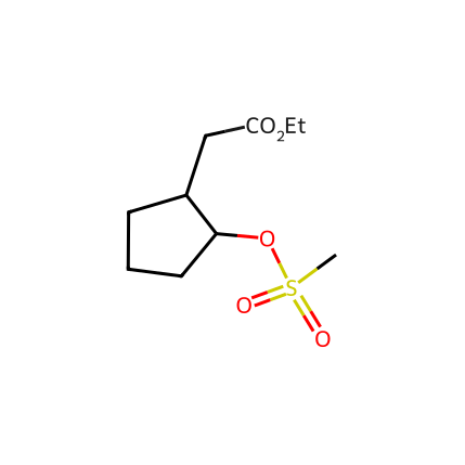 CCOC(=O)CC1CCCC1OS(C)(=O)=O